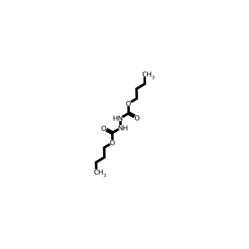 CCCCOC(=O)NNC(=O)OCCCC